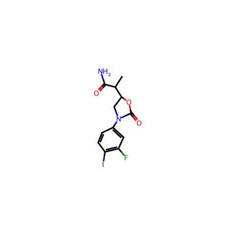 CC(C(N)=O)C1CN(c2ccc(I)c(F)c2)C(=O)O1